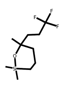 CC1(CCC(F)(F)F)CCC[Si](C)(C)O1